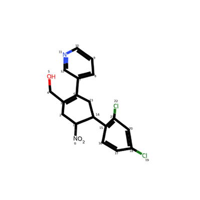 O=[N+]([O-])C1CC(CO)=C(c2cccnc2)CC1c1ccc(Cl)cc1Cl